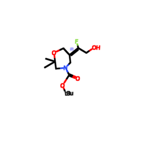 CC(C)(C)OC(=O)N1C/C(=C(/F)CO)COC(C)(C)C1